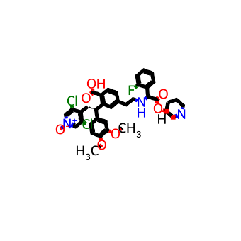 COc1ccc([C@H](Cc2c(Cl)c[n+]([O-])cc2Cl)c2cc(CCNC(C(=O)O[C@H]3CN4CCC3CC4)c3ccccc3F)ccc2C(=O)O)cc1OC